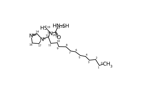 CCCCCCCCCCCCC(N1C=NCC1)N(S)C(=O)NS